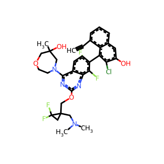 C#Cc1cccc2cc(O)c(Cl)c(-c3c(F)cc4c(N5CCOCC(C)(O)C5)nc(OCC5(CN(C)C)CC5(F)F)nc4c3F)c12